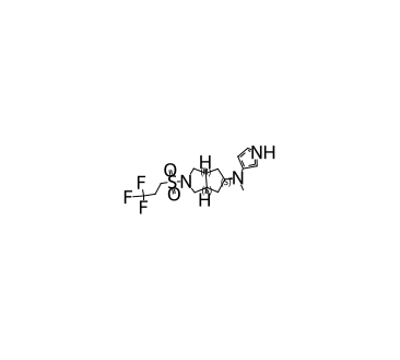 CN(c1cc[nH]c1)[C@H]1C[C@@H]2CN(S(=O)(=O)CCC(F)(F)F)C[C@@H]2C1